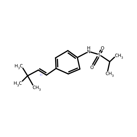 CC(C)S(=O)(=O)Nc1ccc(/C=C/C(C)(C)C)cc1